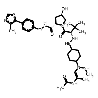 CNN(/C=C(\C)NC(C)=O)C1CCC(BN[C@H](C(=O)N2C[C@H](O)C[C@H]2C(=O)NOc2ccc(-c3scnc3C)cc2)C(C)(C)C)CC1